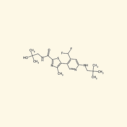 Cc1nc(C(=O)NCC(C)(C)O)sc1-c1cnc(NCC(C)(C)C)cc1C(F)F